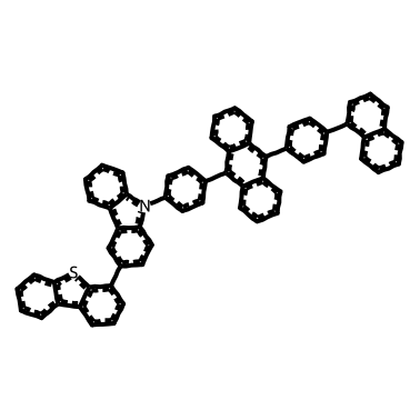 c1ccc2c(-c3ccc(-c4c5ccccc5c(-c5ccc(-n6c7ccccc7c7cc(-c8cccc9c8sc8ccccc89)ccc76)cc5)c5ccccc45)cc3)cccc2c1